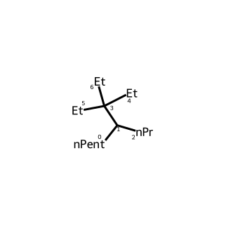 CCCCCC(CCC)C(CC)(CC)CC